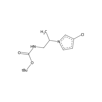 CC(CNC(=O)OC(C)(C)C)n1ccc(Cl)c1